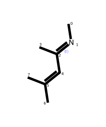 C/N=C(\C)C=C(C)C